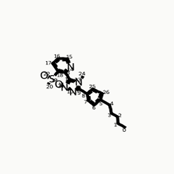 CCCCCc1ccc(-c2nnc(-c3ncccc3S(C)(=O)=O)n2C)cc1